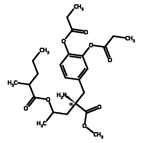 CCCC(C)C(=O)OC(C)C[C@@](N)(Cc1ccc(OC(=O)CC)c(OC(=O)CC)c1)C(=O)OC